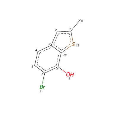 Cc1cc2ccc(Br)c(O)c2s1